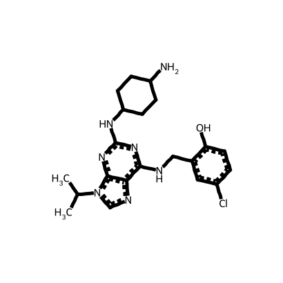 CC(C)n1cnc2c(NCc3cc(Cl)ccc3O)nc(NC3CCC(N)CC3)nc21